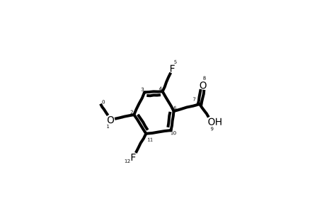 COc1cc(F)c(C(=O)O)cc1F